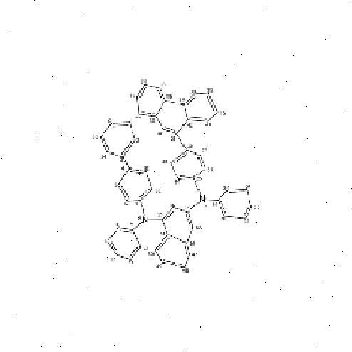 c1ccc(-c2ccc(N(c3ccccc3)c3cc(N(c4ccccc4)c4ccc(-c5cc6ccccc6c6ccccc56)cc4)cc4ccccc34)cc2)cc1